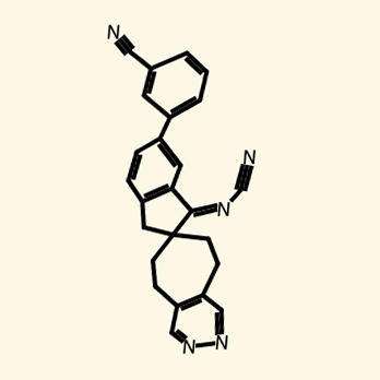 N#C/N=C1\c2cc(-c3cccc(C#N)c3)ccc2CC12CCc1cnncc1CC2